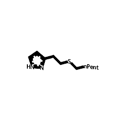 CCCCCCSCCc1cc[nH]n1